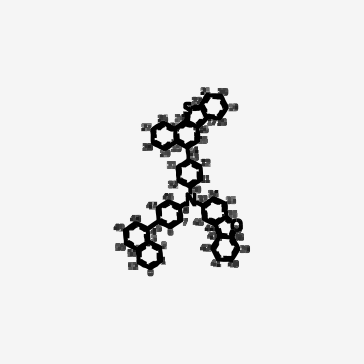 c1ccc2c(-c3ccc(N(c4ccc(-c5cc6c7ccccc7sc6c6ccccc56)cc4)c4ccc5oc6ccccc6c5c4)cc3)cccc2c1